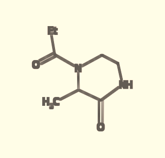 CCC(=O)N1CCNC(=O)C1C